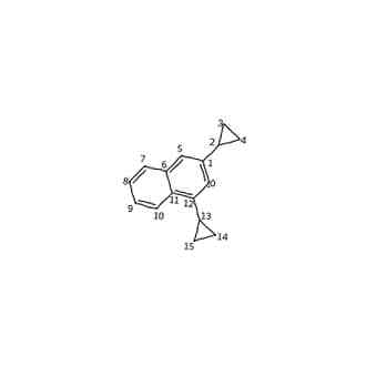 [c]1c(C2CC2)cc2ccccc2c1C1CC1